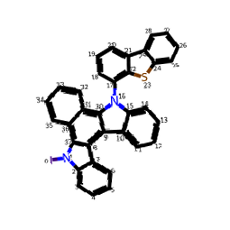 In1c2ccccc2c2c3c4ccccc4n(-c4cccc5c4sc4ccccc45)c3c3ccccc3c21